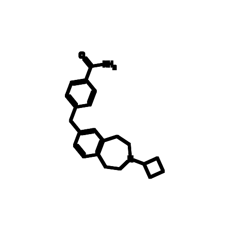 NC(=O)c1ccc(Cc2ccc3c(c2)CCN(C2CCC2)CC3)cc1